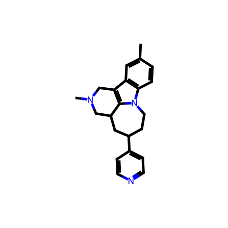 Cc1ccc2c(c1)c1c3n2CCC(c2ccncc2)CC3CN(C)C1